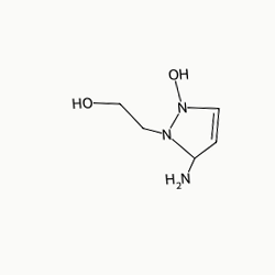 NC1C=CN(O)N1CCO